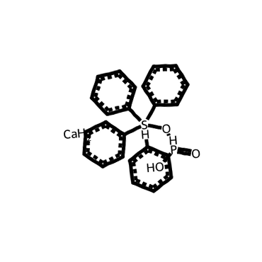 O=[PH](O)O[SH](c1ccccc1)(c1ccccc1)(c1ccccc1)c1ccccc1.[CaH2]